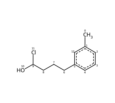 Cc1cccc(CCCC(O)Cl)c1